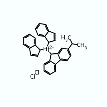 CC(C)c1ccc2c(c1)[CH]([Hf+2]([CH]1C=Cc3ccccc31)[CH]1C=Cc3ccccc31)c1ccccc1-2.[Cl-].[Cl-]